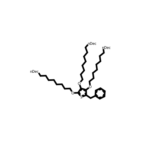 CCCCCCCCCCCCCCCCCCOc1sc(Cc2ccccc2)c(OCCCCCCCCCCCCCCCCCC)c1OCCCCCCCCCCCCCCCCCC